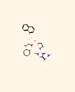 COc1nc(N)nc2c1nc(I)n2C1O[C@H](COP(=O)(N[C@H](C(=O)OC2CCCCC2)C(C)C)Oc2cccc3ccccc23)[C@@H](O)[C@@]1(C)O